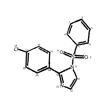 O=S(=O)(c1ccccc1)n1c[c]nc1-c1ccc(Cl)cc1